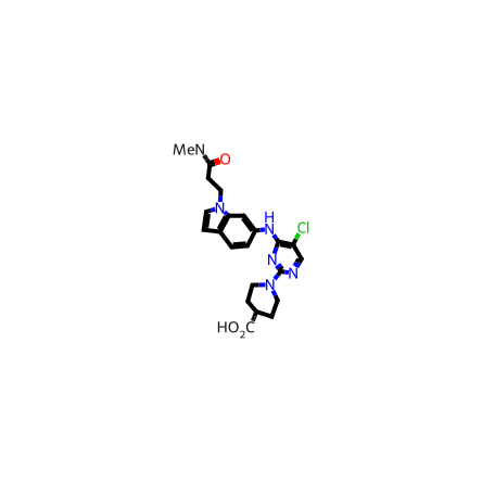 CNC(=O)CCn1ccc2ccc(Nc3nc(N4CCC(C(=O)O)CC4)ncc3Cl)cc21